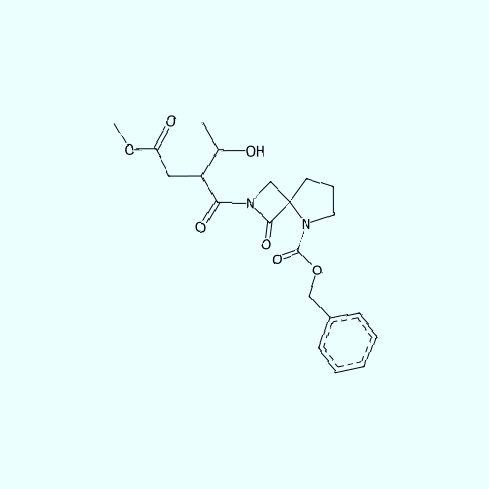 COC(=O)CC(C(=O)N1CC2(CCCN2C(=O)OCc2ccccc2)C1=O)C(C)O